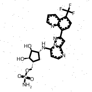 NS(=O)(=O)OC[C@H]1C[C@@H](Nc2ccnc3cc(-c4ccc(C(F)(F)F)c5cccnc45)nn23)[C@H](O)[C@@H]1O